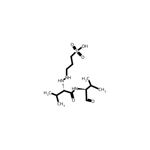 CC(C)[C@H](NNCCCS(=O)(=O)O)C(=O)N[C@H](C=O)C(C)C